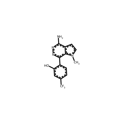 Cn1ccc2c(N)nnc(-c3ccc(C(F)(F)F)cc3O)c21